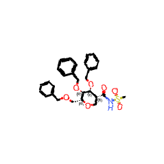 CS(=O)(=O)NC(=O)[C@@H]1CO[C@H](COCc2ccccc2)[C@H](OCc2ccccc2)[C@@H]1OCc1ccccc1